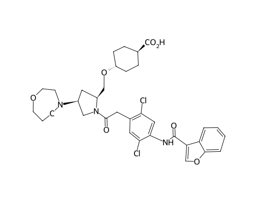 O=C(Nc1cc(Cl)c(CC(=O)N2C[C@@H](N3CCCOCC3)C[C@H]2CO[C@H]2CC[C@H](C(=O)O)CC2)cc1Cl)c1coc2ccccc12